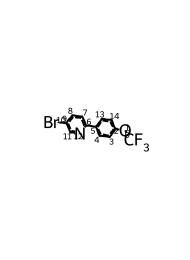 FC(F)(F)Oc1ccc(-c2ccc(Br)cn2)cc1